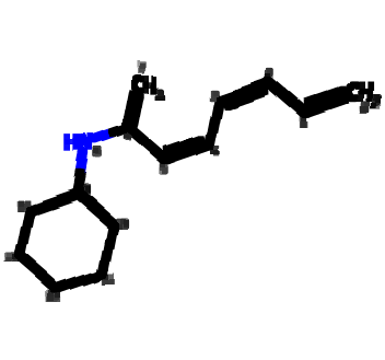 C=C/C=C\C=C/C(=C)NC1CCCCC1